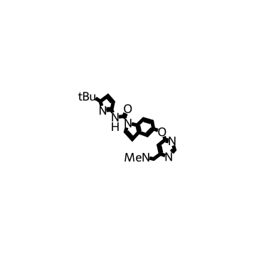 CNCc1cc(Oc2ccc3c(ccn3C(=O)NC3=NC(C(C)(C)C)C=C3)c2)ncn1